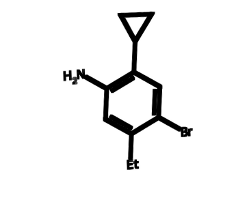 CCc1cc(N)c(C2CC2)cc1Br